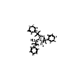 CC(C)([SiH2]P([SiH2]C(C)(C)c1ccccc1)[SiH2]C(C)(C)c1ccccc1)c1ccccc1